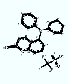 O=S(=O)([O-])C(F)(F)F.O=c1ccc2c([S+](c3ccccc3)c3ccccc3)cccc2o1